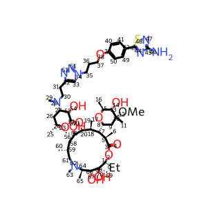 CC[C@H]1OC(=O)[C@H](C)C([C@H]2C[C@@](C)(OC)[C@@H](O)[C@H](C)O2)[C@H](C)[C@@H](O[C@@H]2O[C@H](C)C[C@H](N(C)CCc3cn(CCCOc4ccc(-c5nc(N)ns5)cc4)nn3)[C@H]2O)[C@](C)(O)C[C@@H](C)CN(C)[C@H](C)[C@@H](O)[C@]1(C)O